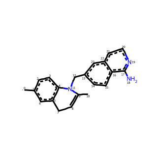 [CH2]c1ccc2c(c1)CC=C(C)N2Cc1ccc2c(N)nccc2c1